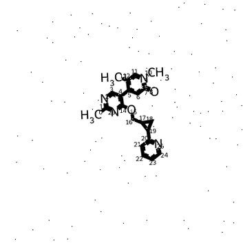 Cc1ncc(-c2cc(=O)n(C)cc2C)c(OCC2CC2c2ccccn2)n1